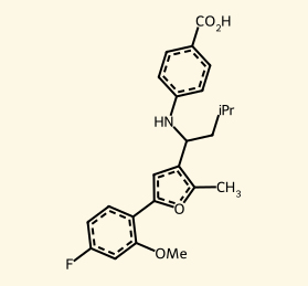 COc1cc(F)ccc1-c1cc(C(CC(C)C)Nc2ccc(C(=O)O)cc2)c(C)o1